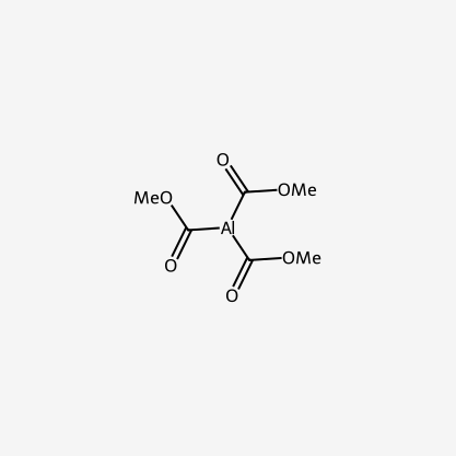 CO[C](=O)[Al]([C](=O)OC)[C](=O)OC